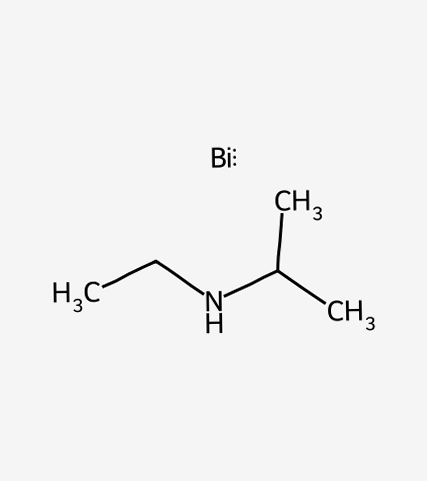 CCNC(C)C.[Bi]